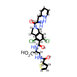 N=C(/C=C1/C=CC=CN1)C(=O)N1CCc2c(cc(Cl)c(C(=O)N[C@@H](CNC(=O)c3cccs3)C(=O)O)c2Cl)C1